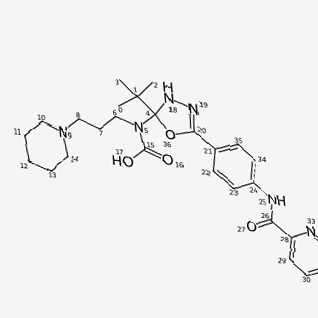 CC(C)(C)C1(N(CCCN2CCCCC2)C(=O)O)NN=C(c2ccc(NC(=O)c3ccccn3)cc2)O1